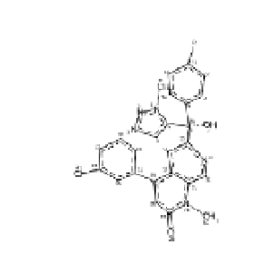 Cn1nncc1[C@@](O)(c1ccc(I)cc1)c1cc2c(-c3cccc(Cl)c3)cc(=O)n(C)c2cn1